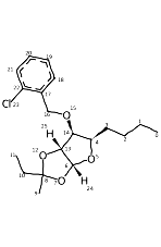 CCCC[C@H]1O[C@@H]2OC(C)(CC)O[C@@H]2[C@H]1OCc1ccccc1Cl